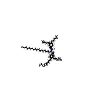 CCCCCCCCCCCCCCCCCCC(=N\c1ccc(CCCCC)c(CCCCC)c1)/C(C)=N/c1ccc(CCCCC)c(CCCCC)c1.[Pd]